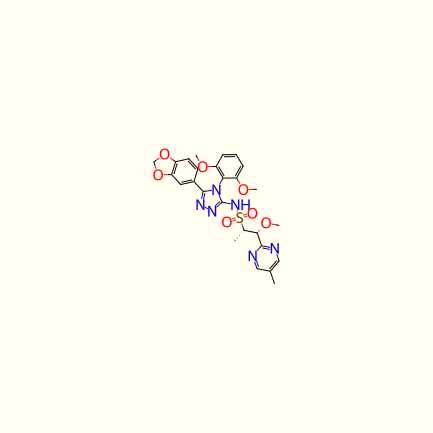 COc1cccc(OC)c1-n1c(NS(=O)(=O)[C@@H](C)[C@H](OC)c2ncc(C)cn2)nnc1-c1ccc2c(c1)OCO2